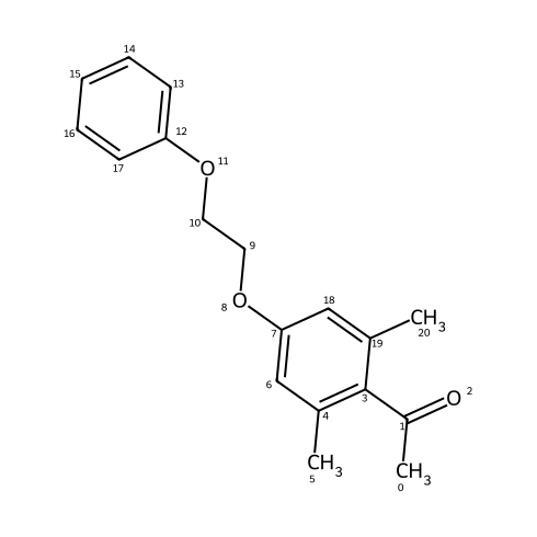 CC(=O)c1c(C)cc(OCCOc2ccccc2)cc1C